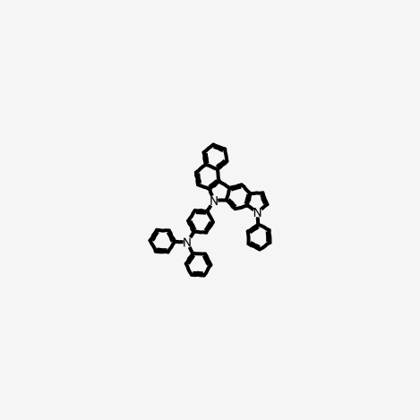 c1ccc(N(c2ccccc2)c2ccc(-n3c4cc5c(ccn5-c5ccccc5)cc4c4c5ccccc5ccc43)cc2)cc1